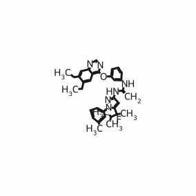 C=C(Nc1cccc(Oc2ncnc3cc(CC)c(CC)cc23)c1)Nc1cc(C(C)(F)C(C)C)n(-c2cccc(C)c2)n1